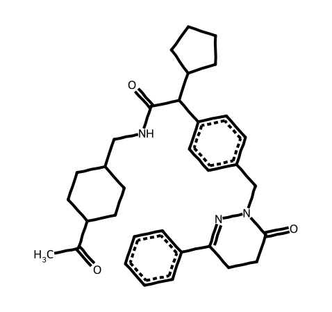 CC(=O)C1CCC(CNC(=O)C(c2ccc(CN3N=C(c4ccccc4)CCC3=O)cc2)C2CCCC2)CC1